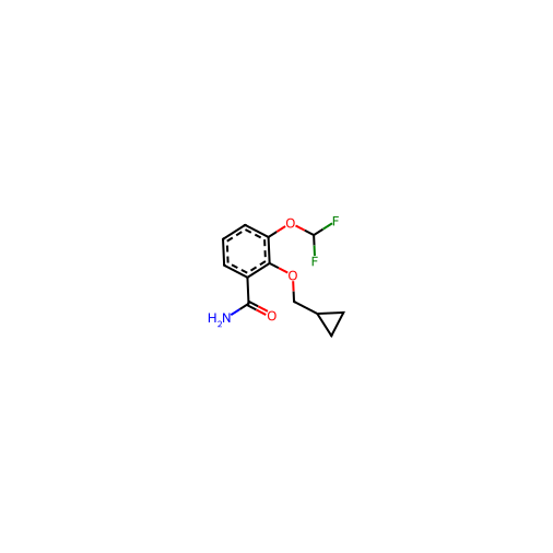 NC(=O)c1cccc(OC(F)F)c1OCC1CC1